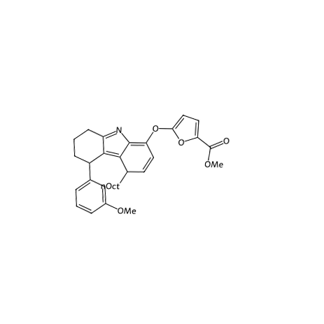 CCCCCCCCC1C=CC(Oc2ccc(C(=O)OC)o2)=C2N=C3CCCC(c4cccc(OC)c4)C3=C21